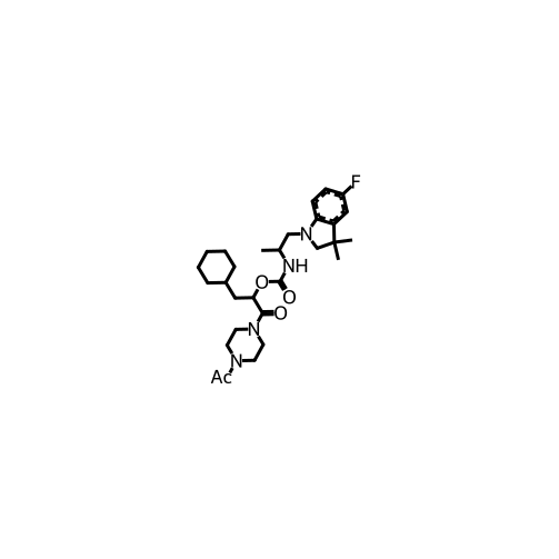 CC(=O)N1CCN(C(=O)C(CC2CCCCC2)OC(=O)NC(C)CN2CC(C)(C)c3cc(F)ccc32)CC1